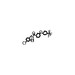 O=C(NCc1ccc(Cl)cc1Cl)c1cccc(Oc2ccc(C(F)(F)F)cc2)c1